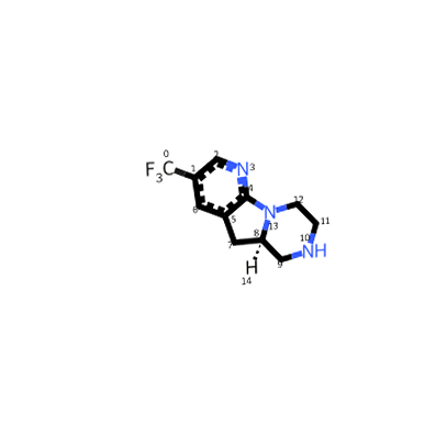 FC(F)(F)c1cnc2c(c1)C[C@@H]1CNCCN21